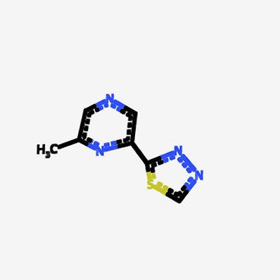 Cc1cncc(-c2nncs2)n1